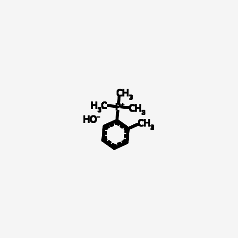 Cc1ccccc1[P+](C)(C)C.[OH-]